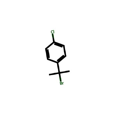 CC(C)(Br)c1ccc(Cl)cc1